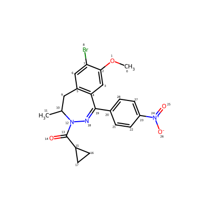 COc1cc2c(cc1Br)CC(C)N(C(=O)C1CC1)N=C2c1ccc([N+](=O)[O-])cc1